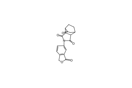 O=C1OCc2ccc(N3C(=O)C4C5CCC(C(=O)C5)C4C3=O)cc21